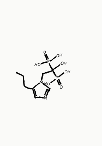 CCCc1cncn1CC(O)(P(=O)(O)O)P(=O)(O)O